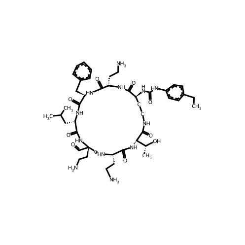 CCc1ccc(NC(=O)N[C@H]2CCNC(=O)[C@H]([C@@H](C)O)NC(=O)[C@H](CCN)NC[C@@](C=O)(CCN)NC(=O)[C@H](CC(C)C)NC(=O)[C@@H](Cc3ccccc3)NC(=O)[C@H](CCN)NC2=O)cc1